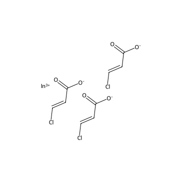 O=C([O-])C=CCl.O=C([O-])C=CCl.O=C([O-])C=CCl.[In+3]